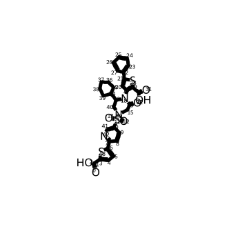 O=C(O)c1ccc(-c2ccc(S(=O)(=O)N3CC(=O)N(c4cc(-c5ccccc5)sc4C(=O)O)C(C4CCCCC4)C3)cn2)s1